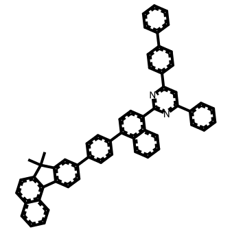 CC1(C)c2cc(-c3ccc(-c4ccc(-c5nc(-c6ccccc6)cc(-c6ccc(-c7ccccc7)cc6)n5)c5ccccc45)cc3)ccc2-c2c1ccc1ccccc21